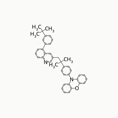 CC(C)(C)c1cccc(-c2cccc3ncc(CC(C)(C)c4ccc(N5c6ccccc6Oc6ccccc65)cc4)cc23)c1